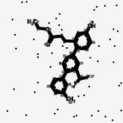 CCOC(=O)CCc1cc(O)ccc1-c1ccc(-c2cccc(C)c2)c(C(F)F)c1